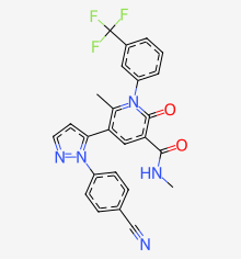 CNC(=O)c1cc(-c2ccnn2-c2ccc(C#N)cc2)c(C)n(-c2cccc(C(F)(F)F)c2)c1=O